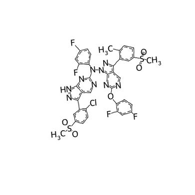 Cc1ccc(S(C)(=O)=O)cc1-c1nn(N(c2ncc3c(-c4cc(S(C)(=O)=O)ccc4Cl)n[nH]c3n2)c2ccc(F)cc2F)c2nc(Oc3ccc(F)cc3F)ncc12